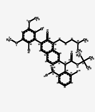 COc1cc(OC)c(Cl)c(-c2cc3cnc(N(C(=O)OC(C)(C)C)c4c(F)cccc4[N+](=O)[O-])cc3n(CCCN(C)C)c2=O)c1Cl